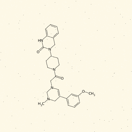 COc1cccc(C2=CN(CC(=O)N3CCC(N4Cc5ccccc5NC4=O)CC3)CN(C)C2)c1